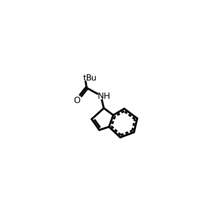 CC(C)(C)C(=O)NC1C=Cc2ccccc21